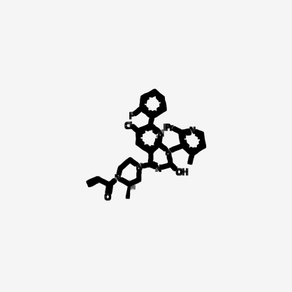 C=CC(=O)N1CCN(C2=NC(O)N(c3c(C)ccnc3C(C)C)c3nc(-c4ccccc4F)c(Cl)cc32)C[C@H]1C